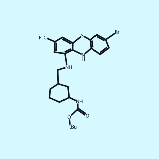 CC(C)(C)OC(=O)NC1CCCC(CNc2cc(C(F)(F)F)cc3c2Nc2ccc(Br)cc2S3)C1